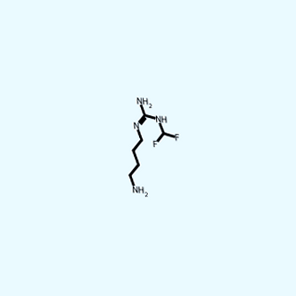 NCCCC/N=C(/N)NC(F)F